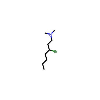 CCCCC(Br)CCN(C)C